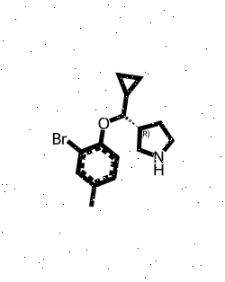 Cc1ccc(OC(C2CC2)[C@@H]2CCNC2)c(Br)c1